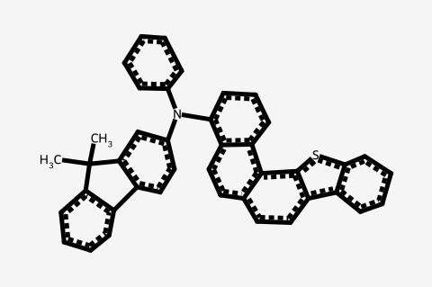 CC1(C)c2ccccc2-c2ccc(N(c3ccccc3)c3cccc4c3ccc3ccc5c6ccccc6sc5c34)cc21